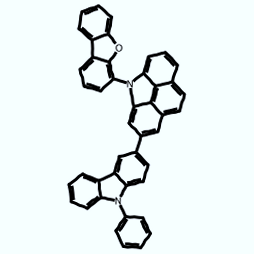 c1ccc(-n2c3ccccc3c3cc(-c4cc5ccc6cccc7c6c5c(c4)n7-c4cccc5c4oc4ccccc45)ccc32)cc1